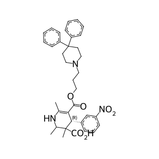 CC1=C(C(=O)OCCCN2CCC(c3ccccc3)(c3ccccc3)CC2)[C@H](c2cccc([N+](=O)[O-])c2)C(C)(C(=O)O)C(C)N1